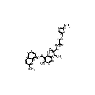 Cc1ccc2cccc(OCc3c(Cl)ccc(N(C)C(=O)CNC(=O)CSc4nnc(N)s4)c3Cl)c2n1